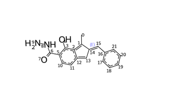 CC1=c2c(O)c(C(=O)NN)ccc2=C/C1=C\c1ccccc1